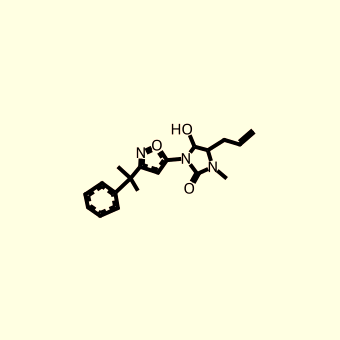 C=CCC1C(O)N(c2cc(C(C)(C)c3ccccc3)no2)C(=O)N1C